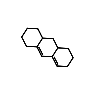 [C]1=C2C=C3CCCCC3CC2CCC1